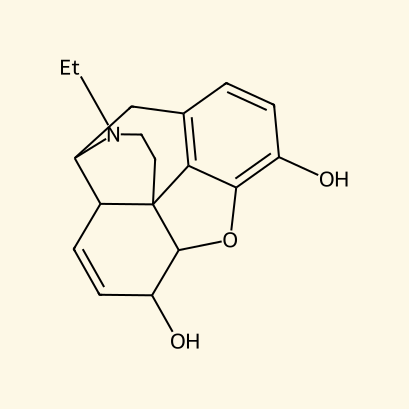 CCN1CCC23c4c5ccc(O)c4OC2C(O)C=CC3C1C5